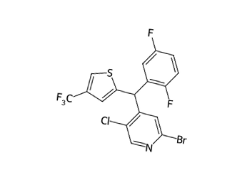 Fc1ccc(F)c(C(c2cc(C(F)(F)F)cs2)c2cc(Br)ncc2Cl)c1